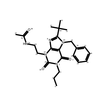 CCCn1c(=O)c2c(nc(C(C)(C)C)n2Cc2ccccc2)n(CCNC(C)=O)c1=O